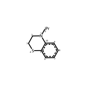 CC(C)N1CCSc2ccccc21